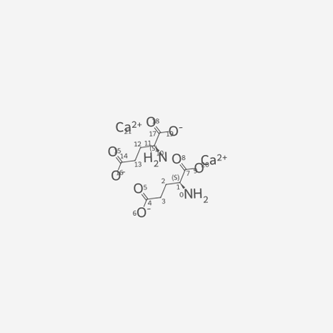 N[C@@H](CCC(=O)[O-])C(=O)[O-].N[C@@H](CCC(=O)[O-])C(=O)[O-].[Ca+2].[Ca+2]